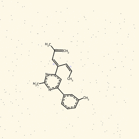 C=C(C)/C=C(\C=C/C)c1cc(-c2cccc(C)c2)nc(C)n1